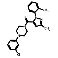 Cc1cc(C(=O)N2CCN(c3cccc(Cl)c3)CC2)n(-c2ccccc2C)n1